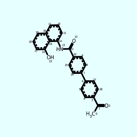 CC(=O)c1ccc(-c2ccc(C(=O)Nc3cccc4cccc(O)c34)cc2)cc1